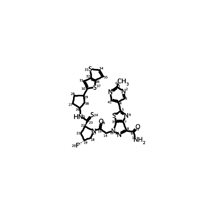 Cc1ncc(-c2nc3c(C(N)=O)nn(CC(=O)N4C[C@H](F)C[C@H]4C(=S)NC4CCC(c5cc6sccc6s5)C4)c3s2)cn1